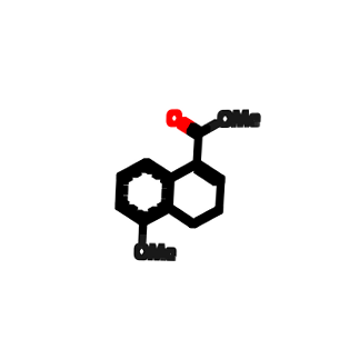 COC(=O)C1=CCCc2c(OC)cccc21